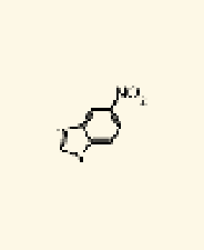 O=[N+]([O-])c1ccc2sc[c]c2c1